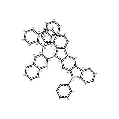 c1ccc(-n2c3ccccc3c3cc4c5ccc6ccccc6c5n(-c5nc6ccccc6nc5-c5cc6ccccc6c6ccccc56)c4cc32)cc1